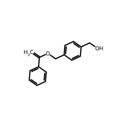 C=C(OCc1ccc(CO)cc1)c1ccccc1